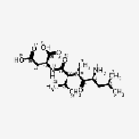 CC(C)C[C@H](N)C(=O)N(C)[C@H](C(=O)N[C@@H](CC(=O)O)C(=O)O)C(C)C